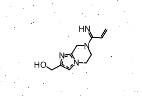 C=CC(=N)N1CCn2cc(CO)nc2C1